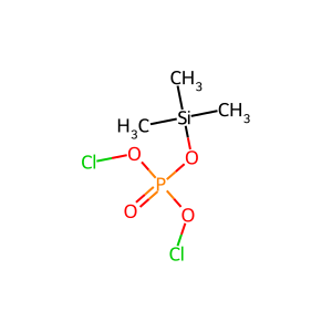 C[Si](C)(C)OP(=O)(OCl)OCl